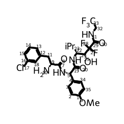 COc1ccc([C@H](NC(=O)[C@@H](N)Cc2cccc(Cl)c2)C(=O)N[C@@H](C(C)C)[C@@H](O)C(F)(F)C(=O)NCC(F)(F)F)cc1